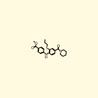 CCCSc1cc(C(=O)N2CCCCC2)ccc1Nc1ccc(C(=O)OC)cc1